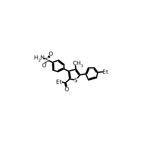 CCC(=O)c1sc(-c2ccc(CC)cc2)c(C)c1-c1ccc(S(N)(=O)=O)cc1